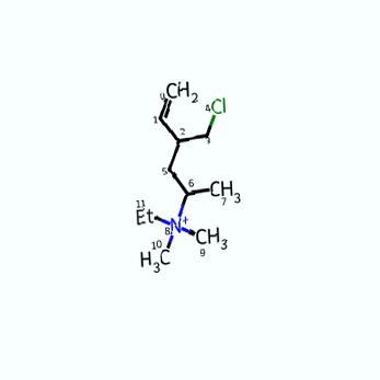 C=CC(CCl)CC(C)[N+](C)(C)CC